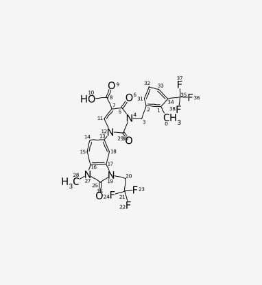 Cc1c(Cn2c(=O)c(C(=O)O)cn(-c3ccc4c(c3)n(CC(F)(F)F)c(=O)n4C)c2=O)cccc1C(F)(F)F